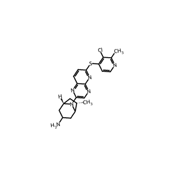 Cc1nccc(Sc2ccc3nc(N4C5CC(N)C[C@@H]4C[C@@H]5C)cnc3n2)c1Cl